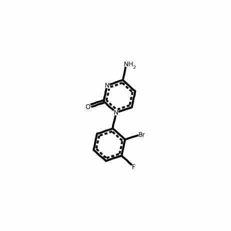 Nc1ccn(-c2cccc(F)c2Br)c(=O)n1